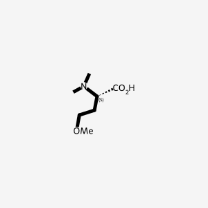 COCC[C@@H](C(=O)O)N(C)C